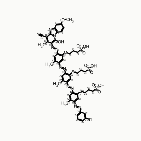 COc1ccc2c(c1)nc1c(C#N)c(C)c(N=Nc3cc(C)c(N=Nc4cc(C)c(N=Nc5cc(C)c(N=Nc6cccc(Cl)c6)cc5SCCCS(=O)(=O)O)cc4SCCCS(=O)(=O)O)cc3OCCCS(=O)(=O)O)c(O)n12